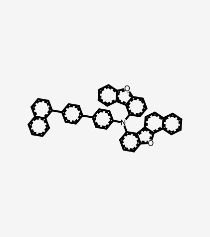 c1ccc2c(-c3ccc(-c4ccc(N(c5cccc6oc7ccccc7c56)c5cccc6oc7c8ccccc8ccc7c56)cc4)cc3)cccc2c1